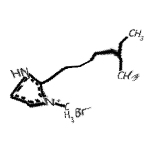 CC(C)CCCc1[nH]cc[n+]1C.[Br-]